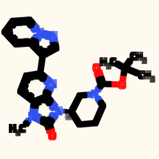 Cn1c(=O)n([C@H]2CCCN(C(=O)OC(C)(C)C)C2)c2nc(-c3cnn4ccccc34)ccc21